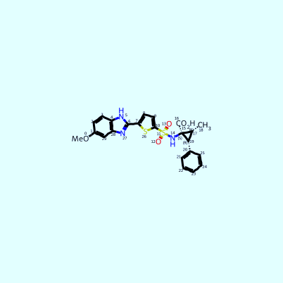 COc1ccc2[nH]c(-c3ccc(S(=O)(=O)N[C@@]4(C(=O)O)[C@H](C)[C@@H]4c4ccccc4)s3)nc2c1